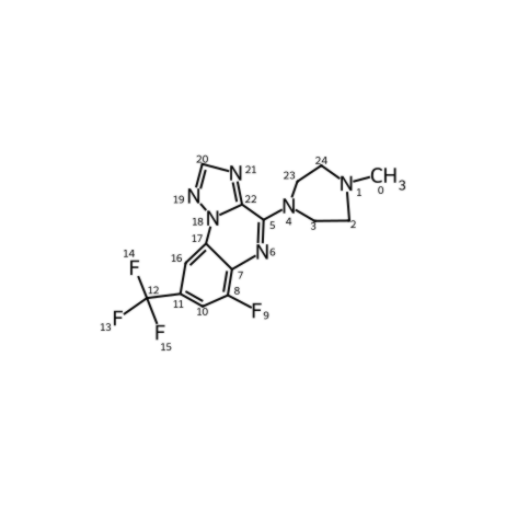 CN1CCN(c2nc3c(F)cc(C(F)(F)F)cc3n3ncnc23)CC1